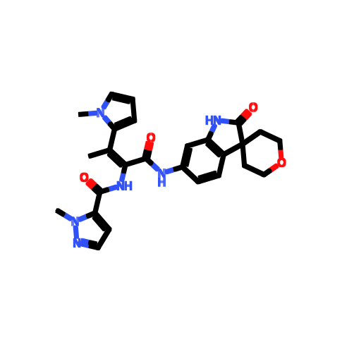 C/C(=C(\NC(=O)c1ccnn1C)C(=O)Nc1ccc2c(c1)NC(=O)C21CCOCC1)c1cccn1C